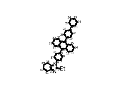 CCc1nc2c(n1-c1ccc(-c3c4ccccc4c(-c4ccc(-c5ccccc5)cc4)c4ccccc34)cc1)CCC=C2